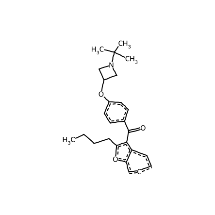 CCCCc1oc2ccccc2c1C(=O)c1ccc(OC2CN(C(C)(C)C)C2)cc1